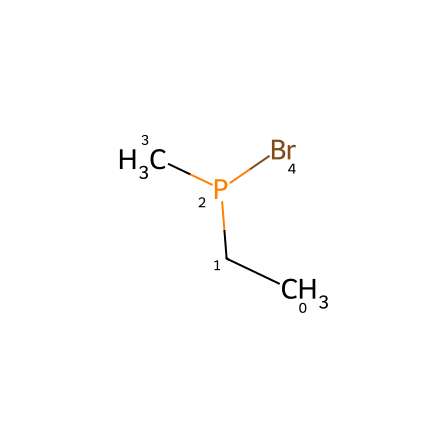 CCP(C)Br